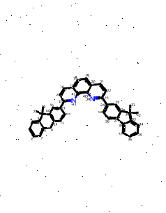 CC1(C)c2ccccc2Cc2ccc(-c3ccc4ccc5ccc(-c6ccc7c(c6)C(C)(C)c6ccccc6-7)nc5c4n3)cc21